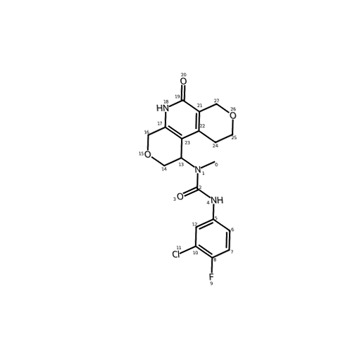 CN(C(=O)Nc1ccc(F)c(Cl)c1)C1COCc2[nH]c(=O)c3c(c21)CCOC3